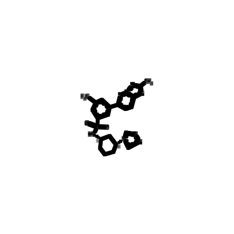 O=S(=O)(N[C@H]1CCC[C@@H](n2cnnc2)C1)c1cc(-c2ccc3nc(C(F)(F)F)nn3n2)cc(C(F)(F)F)c1